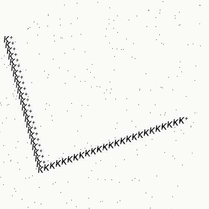 [K+].[K+].[K+].[K+].[K+].[K+].[K+].[K+].[K+].[K+].[K+].[K+].[K+].[K+].[K+].[K+].[K+].[K+].[K+].[K+].[K+].[K+].[K+].[K+].[K+].[K+].[K+].[K+].[K+].[K+].[K+].[K+].[K+].[K+].[K+].[K+].[K+].[K+].[K+].[K+].[K+].[K+].[K+].[K+].[K+].[K+].[K+].[K+]